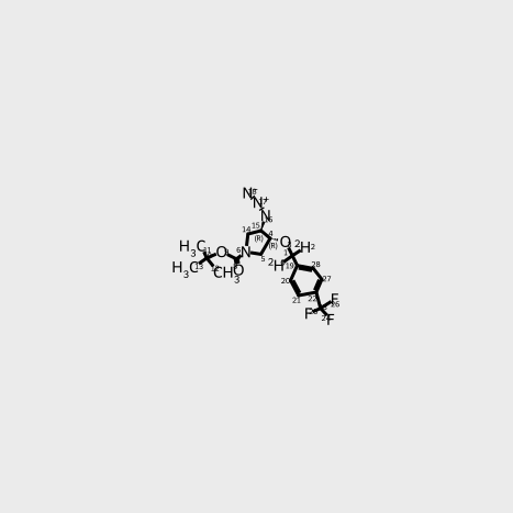 [2H]C([2H])(O[C@@H]1CN(C(=O)OC(C)(C)C)C[C@H]1N=[N+]=[N-])c1ccc(C(F)(F)F)cc1